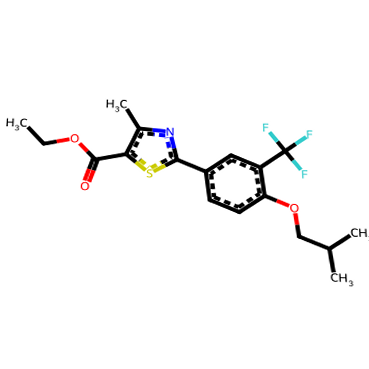 CCOC(=O)c1sc(-c2ccc(OCC(C)C)c(C(F)(F)F)c2)nc1C